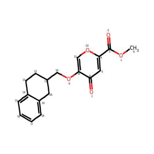 COC(=O)c1cc(=O)c(OCC2CCc3ccccc3C2)co1